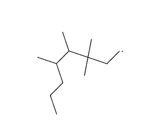 [CH2]CC(C)(C)C(C)C(C)CCC